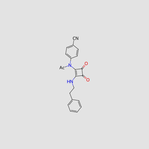 CC(=O)N(c1ccc(C#N)cc1)c1c(NCCc2ccccc2)c(=O)c1=O